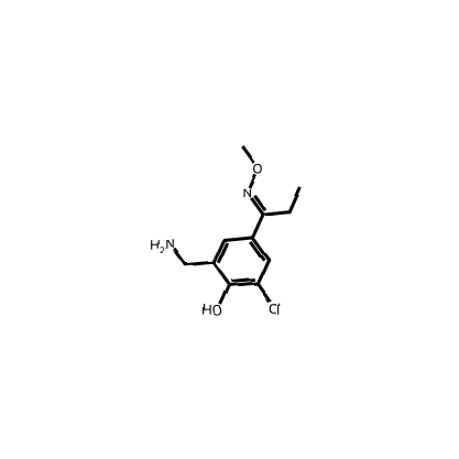 CCC(=NOC)c1cc(Cl)c(O)c(CN)c1